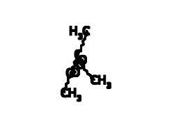 CCCCCCCCCCCC(CCCC(=O)OCCCCCCC)C(=O)OCCCCCCC